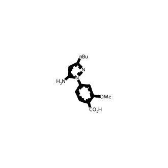 CCCCc1cc(N)n(-c2ccc(C(=O)O)c(OC)c2)n1